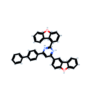 c1ccc(-c2ccc(-c3cc(-c4ccc5oc6ccccc6c5c4)nc(-c4cccc5oc6ccccc6c45)n3)cc2)cc1